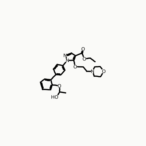 CCOC(=O)c1cnn(-c2ccc(-c3ccccc3OC(C)O)cc2)c1OCCN1CCOCC1